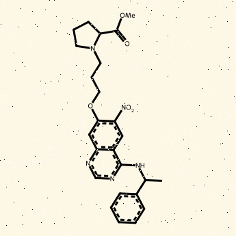 COC(=O)C1CCCN1CCCOc1cc2ncnc(NC(C)c3ccccc3)c2cc1[N+](=O)[O-]